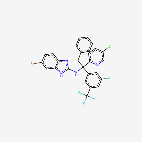 Fc1cc(C(F)(F)F)cc(C(Cc2ccccc2)(Nc2nc3ccc(Br)cc3[nH]2)c2ccc(Cl)cn2)c1